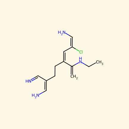 C=C(NCC)/C(=C\C(Cl)=C/N)CC/C(C=N)=C/N